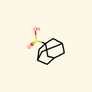 O=S(O)C12CC3CC(CC(C3)C1)C2